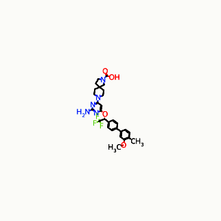 COc1cc(-c2ccc([C@@H](Oc3cc(N4CCC5(CCN(C(=O)O)C5)CC4)nc(N)n3)C(F)(F)F)cc2)ccc1C